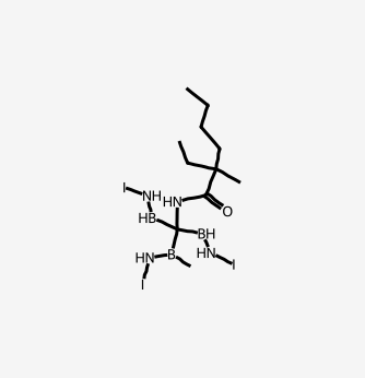 CCCCC(C)(CC)C(=O)NC(BNI)(BNI)B(C)NI